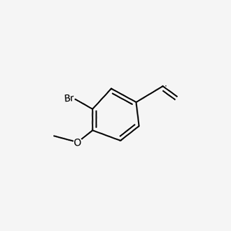 C=[C]c1ccc(OC)c(Br)c1